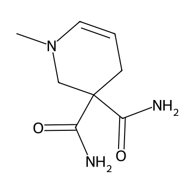 CN1C=CCC(C(N)=O)(C(N)=O)C1